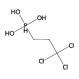 O[PH](O)(O)CCC(Cl)(Cl)Cl